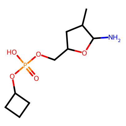 CC1CC(COP(=O)(O)OC2CCC2)OC1N